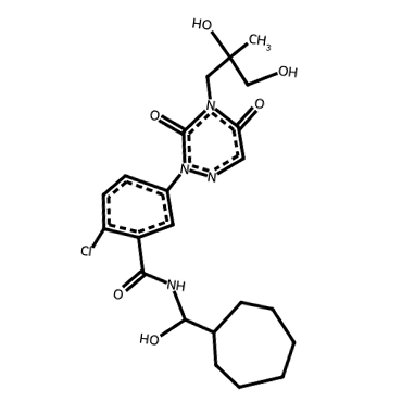 CC(O)(CO)Cn1c(=O)cnn(-c2ccc(Cl)c(C(=O)NC(O)C3CCCCCC3)c2)c1=O